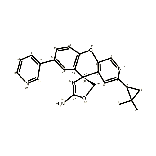 CC1(C)CC1c1cc2c(cn1)Oc1ccc(-c3cccnc3)cc1[C@]21COC(N)=N1